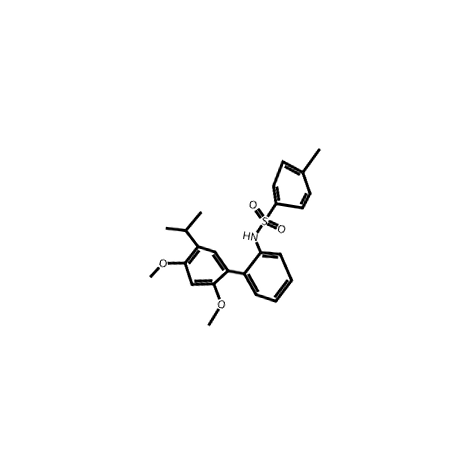 COc1cc(OC)c(C(C)C)cc1-c1ccccc1NS(=O)(=O)c1ccc(C)cc1